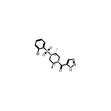 C[C@@H]1CN(C(=O)c2cnn[nH]2)[C@@H](C)CN1S(=O)(=O)c1ccccc1Br